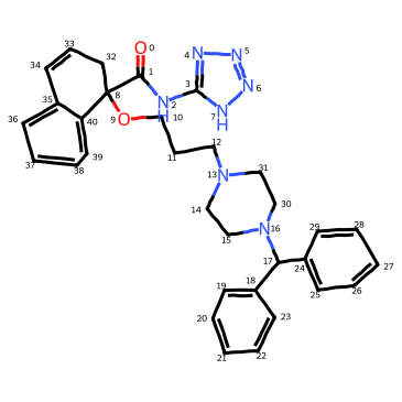 O=C(Nc1nnn[nH]1)C1(OCCCN2CCN(C(c3ccccc3)c3ccccc3)CC2)CC=Cc2ccccc21